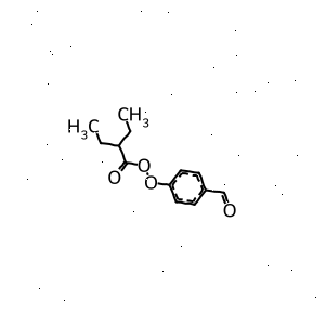 CCC(CC)C(=O)OOc1ccc(C=O)cc1